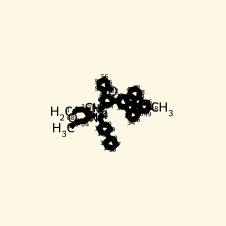 C=C1C=CC(C)(c2nc(-c3ccc(-c4ccccc4)cc3)nc(-c3cc(-c4ccc5c(c4)-c4ccccc4C54c5ccccc5-c5cc(C)ccc54)c4oc5ccccc5c4c3)n2)/C=C\C=C(/C)O1